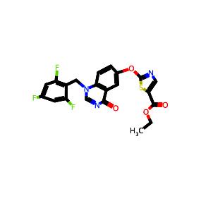 CCOC(=O)c1cnc(Oc2ccc3c(c2)c(=O)ncn3Cc2c(F)cc(F)cc2F)s1